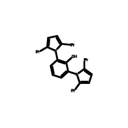 CC(C)c1ccc(C(C)C)n1-c1cccc(-n2c(C(C)C)ccc2C(C)C)c1O